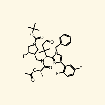 CC(=O)O[C@@H](C)C(=O)N(C[C@@H]1CN(C(=O)OC(C)(C)C)C[C@@H]1F)[C@@H](c1nc(-c2cc(F)ccc2F)cn1Cc1ccccc1)C(C)(C)CC=O